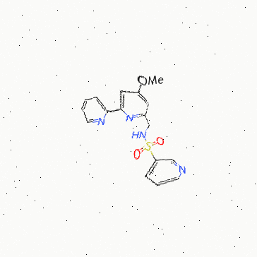 COc1cc(CNS(=O)(=O)c2cccnc2)nc(-c2ccccn2)c1